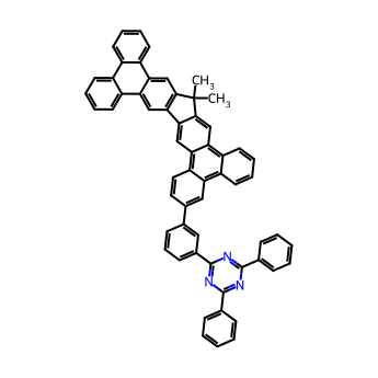 CC1(C)c2cc3c4ccccc4c4ccccc4c3cc2-c2cc3c4ccc(-c5cccc(-c6nc(-c7ccccc7)nc(-c7ccccc7)n6)c5)cc4c4ccccc4c3cc21